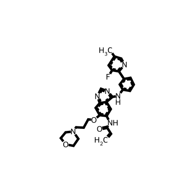 C=CC(=O)Nc1cc2c(Nc3cccc(-c4ncc(C)cc4F)c3)ncnc2cc1OCCCN1CCOCC1